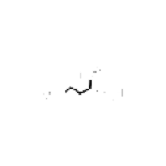 CSCC[C@H](N[N+](=O)[O-])C(=O)O